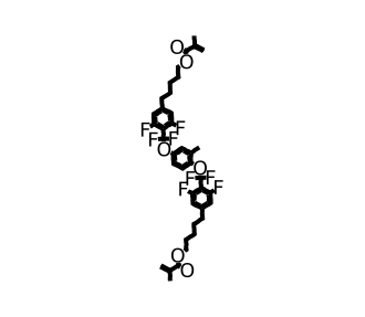 C=C(C)C(=O)OCCCCCc1cc(F)c(C(F)(F)Oc2ccc(OC(F)(F)c3c(F)cc(CCCCCOC(=O)C(=C)C)cc3F)c(C)c2)c(F)c1